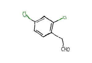 O=CCc1ccc(Cl)cc1Cl